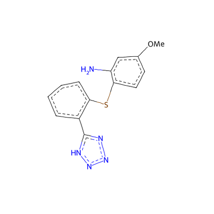 COc1ccc(Sc2ccccc2-c2nnn[nH]2)c(N)c1